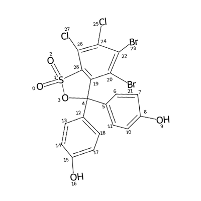 O=S1(=O)OC(c2ccc(O)cc2)(c2ccc(O)cc2)c2c(Br)c(Br)c(Cl)c(Cl)c21